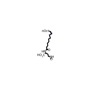 CCCCCCCC/C=C\CCCCCCCC(=O)N[C@@H](CCNCl)C(=O)O